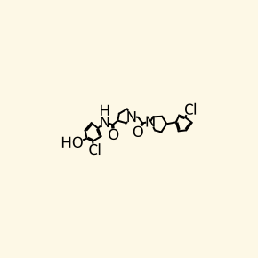 O=C(Nc1ccc(O)c(Cl)c1)C1CCN(CC(=O)N2CCC(c3cccc(Cl)c3)CC2)C1